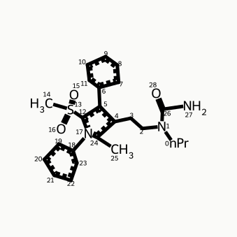 CCCN(CCc1c(-c2ccccc2)c(S(C)(=O)=O)n(-c2ccccc2)c1C)C(N)=O